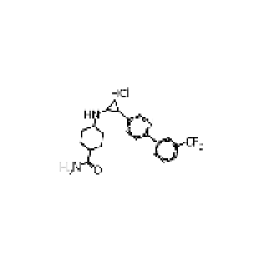 Cl.NC(=O)C1CCC(NC2CC2c2ccc(-c3cccc(C(F)(F)F)c3)nc2)CC1